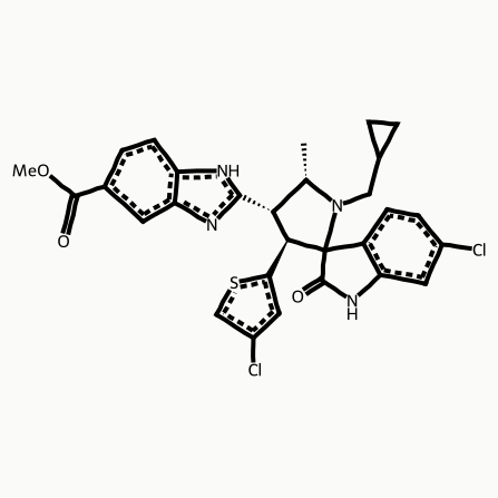 COC(=O)c1ccc2[nH]c([C@@H]3[C@H](C)N(CC4CC4)C4(C(=O)Nc5cc(Cl)ccc54)[C@H]3c3cc(Cl)cs3)nc2c1